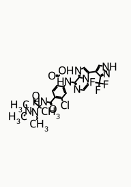 CCN(N(C)C)[C@](C)(C=O)NC(=O)c1ccc(Nc2nccn3c(-c4c[nH]nc4C(F)(F)F)cnc23)cc1Cl.O=CO